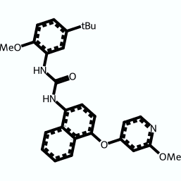 COc1cc(Oc2ccc(NC(=O)Nc3cc(C(C)(C)C)ccc3OC)c3ccccc23)ccn1